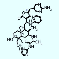 C=C1C(NC(C)C(=O)Nc2ncc[nH]2)CC2[C@](C)(CC[C@@H](O)[C@@]2(C)CO)C1CC(Nc1ccccn1)C1=C/C(=C\c2cnc(N)nc2)OC1=O